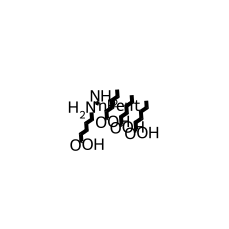 CCCCCC(=O)O.CCCCCC(=O)O.CCCCCC(=O)O.CCCCCC(=O)O.CCCCCC(N)N